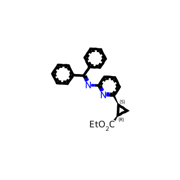 CCOC(=O)[C@@H]1C[C@@H]1c1cccc(N=C(c2ccccc2)c2ccccc2)n1